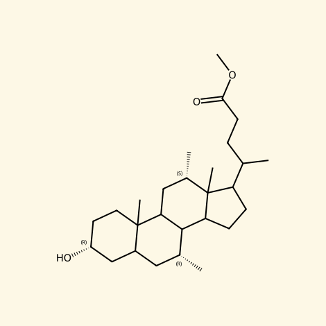 COC(=O)CCC(C)C1CCC2C3C(C[C@H](C)C12C)C1(C)CC[C@@H](O)CC1C[C@H]3C